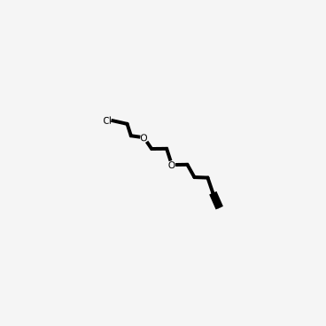 C#CCCCOCCOCCCl